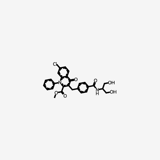 COC(=O)c1c(Cc2ccc(C(=O)NC(CO)CO)cc2)c(=O)c2ccc(Cl)cc2n1-c1ccccc1